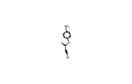 CCC#CC(=O)Oc1ccc([N+](=O)[O-])cc1